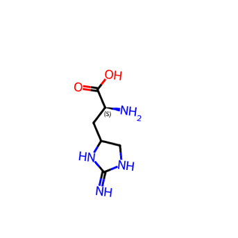 N=C1NCC(C[C@H](N)C(=O)O)N1